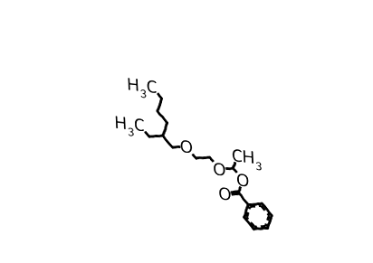 CCCCC(CC)COCCOC(C)OC(=O)c1ccccc1